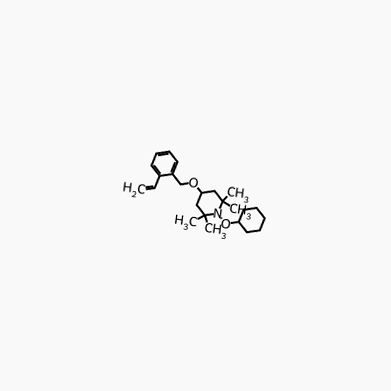 C=Cc1ccccc1COC1CC(C)(C)N(OC2CCCCC2)C(C)(C)C1